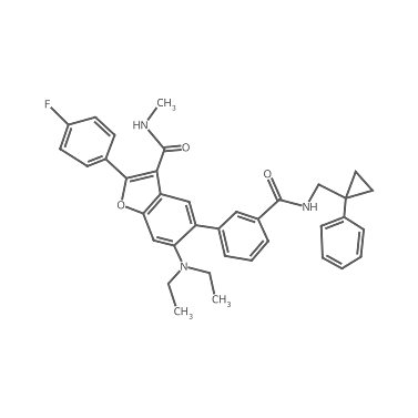 CCN(CC)c1cc2oc(-c3ccc(F)cc3)c(C(=O)NC)c2cc1-c1cccc(C(=O)NCC2(c3ccccc3)CC2)c1